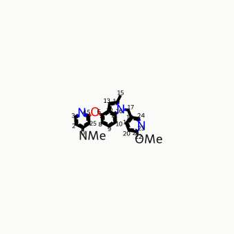 CNc1ccnc(Oc2cccc3c2cc(C)n3Cc2ccc(OC)nc2)c1